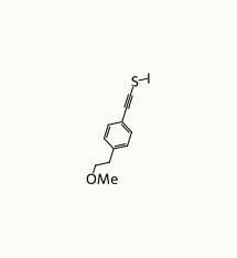 COCCc1ccc(C#CSI)cc1